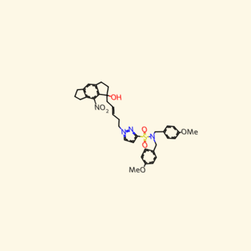 COc1ccc(CN(Cc2ccc(OC)cc2)S(=O)(=O)c2ccn(CCC=CCC3(O)CCc4cc5c(c([N+](=O)[O-])c43)CCC5)n2)cc1